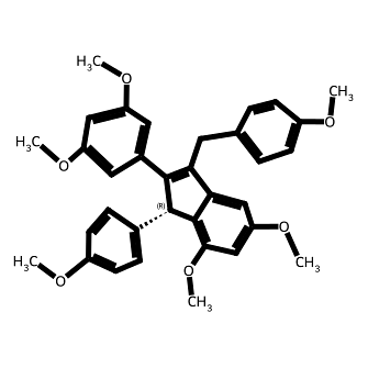 COc1ccc(CC2=C(c3cc(OC)cc(OC)c3)[C@@H](c3ccc(OC)cc3)c3c(OC)cc(OC)cc32)cc1